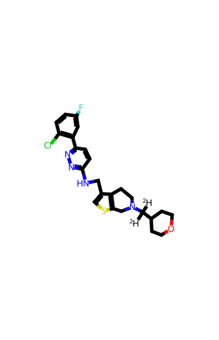 [2H]C([2H])(C1CCOCC1)N1CCc2c(CNc3ccc(-c4cc(F)ccc4Cl)nn3)csc2C1